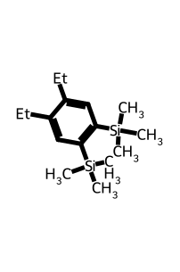 CCc1cc([Si](C)(C)C)c([Si](C)(C)C)cc1CC